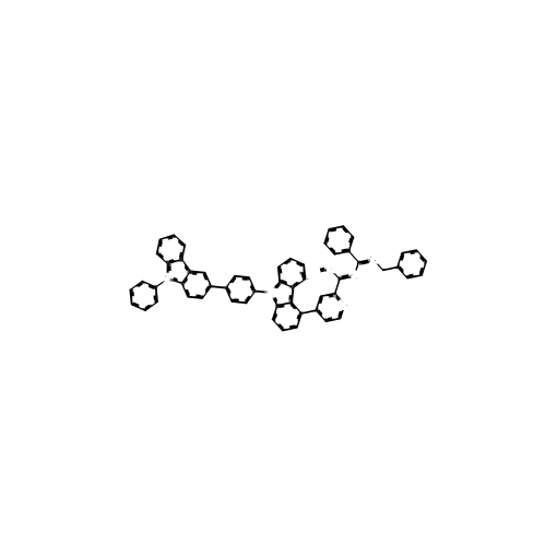 C=N/C(=N\C(=N/Cc1ccccc1)c1ccccc1)c1cc(-c2cccc3c2c2ccccc2n3-c2ccc(-c3ccc4c(c3)c3ccccc3n4-c3ccccc3)cc2)ccn1